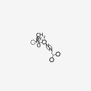 C=CCN(C(=O)c1cc(N2CCN(CCC(c3ccccc3)c3ccccc3)CC2)ccc1C(C)C)C1CCCCC1